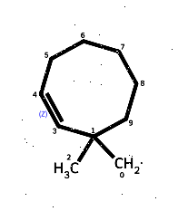 [CH2]C1(C)/C=C\CCCCC1